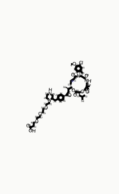 COc1ccc(C[C@H]2NC(=O)/C=C/C[C@@H]([C@H](C)[C@H]3O[C@@H]3c3ccc(CC4CNCCN4CCOCCOCCOCCC(=O)O)cc3)OC(=O)[C@H](CC(C)C)OC(=O)C(C)(C)CNC2=O)cc1Cl